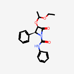 CCOC(C)O[C@H]1C(=O)N(C(=O)Nc2ccccc2)[C@H]1c1ccccc1